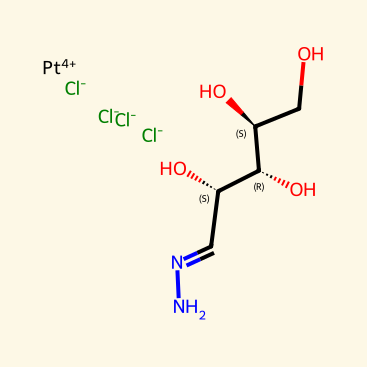 NN=C[C@H](O)[C@@H](O)[C@@H](O)CO.[Cl-].[Cl-].[Cl-].[Cl-].[Pt+4]